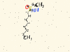 CCCCCCCCS(=N)(=O)CC